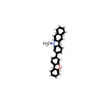 Cn1c2cc(-c3ccc4c(c3)oc3ccccc34)ccc2c2cc3ccccc3cc21